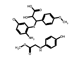 COC(=O)CNc1ccc(O)cc1.COc1ccc(C(Sc2cc(Cl)ccc2N)C(O)C(=O)O)cc1